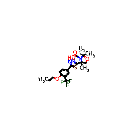 C=CCOc1ccc(-c2nnc(C3(C)COC(C)(C)N3C(=O)O)s2)cc1C(F)(F)F